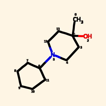 CC1(O)CCN(C2CCCCC2)CC1